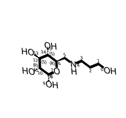 OCCCNC[C@H]1O[C@H](O)[C@H](O)[C@@H](O)[C@@H]1O